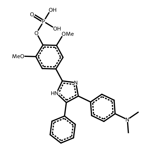 COc1cc(-c2nc(-c3ccc(N(C)C)cc3)c(-c3ccccc3)[nH]2)cc(OC)c1OP(=O)(O)O